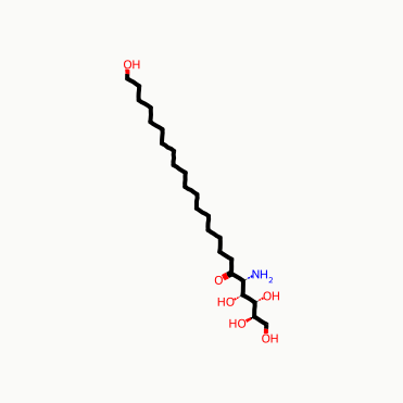 N[C@@H](C(=O)CCCCCCCCCCCCCCCCCCO)[C@@H](O)[C@H](O)[C@H](O)CO